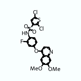 COc1cc2nccc(Oc3ccc(NS(=O)(=O)c4cc(Cl)sc4Cl)c(F)c3)c2cc1OC